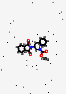 CC(C)(C)OC(=O)NCC(Cc1ccccc1)N1C(=O)c2ccccc2C1=O